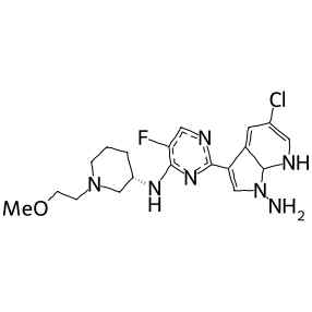 COCCN1CCC[C@H](Nc2nc(C3=CN(N)C4NC=C(Cl)C=C34)ncc2F)C1